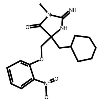 CN1C(=N)NC(COc2ccccc2[N+](=O)[O-])(CC2CCCCC2)C1=O